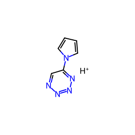 [H+].c1ccn(-c2cnnnn2)c1